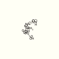 CCc1c(NC[C@H](NC(=O)OCCCC(=O)O)C(=O)O)ncnc1N1CCC(c2ccc3c(n2)NCCC3)CC1